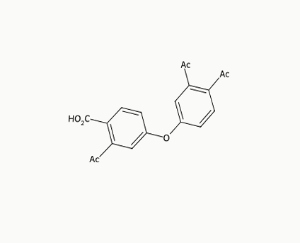 CC(=O)c1ccc(Oc2ccc(C(=O)O)c(C(C)=O)c2)cc1C(C)=O